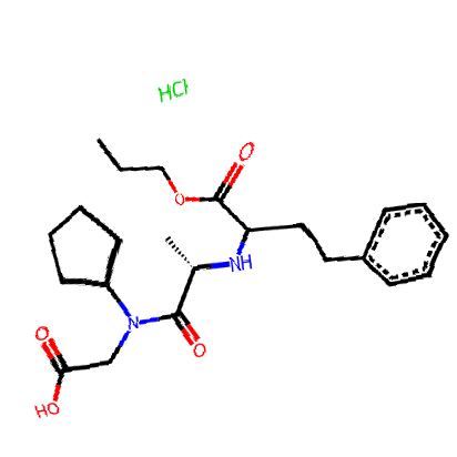 CCCOC(=O)C(CCc1ccccc1)N[C@@H](C)C(=O)N(CC(=O)O)C1CCCC1.Cl